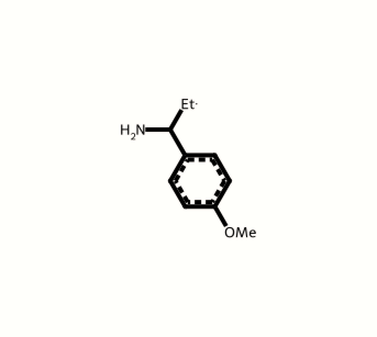 C[CH]C(N)c1ccc(OC)cc1